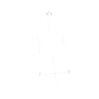 Cc1cc(C(C)C)ccc1C(C)(F)F